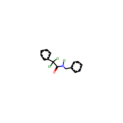 O=C(N(Cl)Cc1ccccc1)C(Cl)(Cl)c1ccccc1